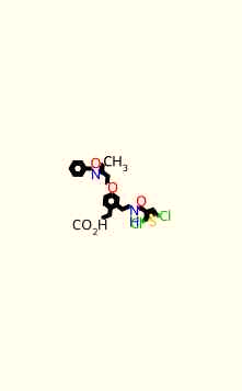 Cc1oc(-c2ccccc2)nc1CCOc1ccc(CCC(=O)O)c(CCNC(=O)c2cc(Cl)sc2Cl)c1